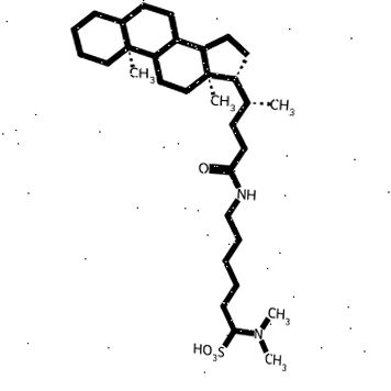 C[C@H](CCC(=O)NCCCCCC(N(C)C)S(=O)(=O)O)[C@H]1CCC2C3CCC4CCCC[C@]4(C)C3CC[C@@]21C